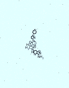 C[C@](O)(C(=O)Nc1cnc2c(N)noc2c1)[C@H]1OCCN(c2ccn(-c3ccncc3)n2)C1=O